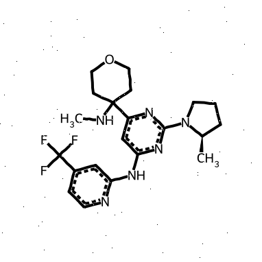 CNC1(c2cc(Nc3cc(C(F)(F)F)ccn3)nc(N3CCC[C@H]3C)n2)CCOCC1